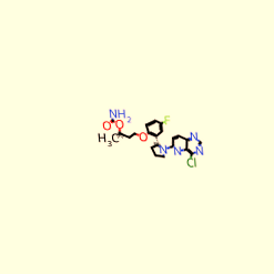 C[C@H](CCOc1ccc(F)cc1[C@H]1CCCN1c1ccc2ncnc(Cl)c2n1)OC(N)=O